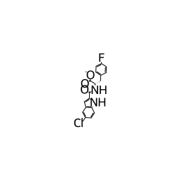 COC(=O)[C@H](Cc1ccc(F)cc1)NC(=O)c1cc2cc(Cl)ccc2[nH]1